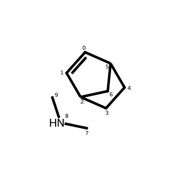 C1=CC2CCC1C2.CNC